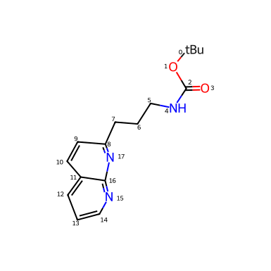 CC(C)(C)OC(=O)NCCCc1ccc2cccnc2n1